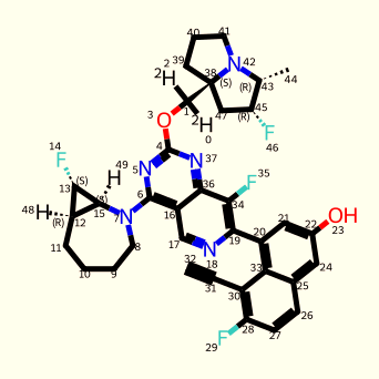 [2H]C([2H])(Oc1nc(N2CCCC[C@H]3[C@H](F)[C@H]32)c2cnc(-c3cc(O)cc4ccc(F)c(C#C)c34)c(F)c2n1)[C@@]12CCCN1[C@H](C)[C@H](F)C2